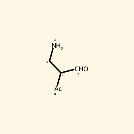 CC(=O)C(C=O)CN